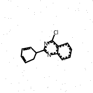 Clc1nc(C2C=CC=CC2)nc2ccccc12